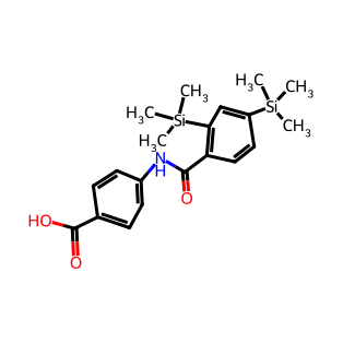 C[Si](C)(C)c1ccc(C(=O)Nc2ccc(C(=O)O)cc2)c([Si](C)(C)C)c1